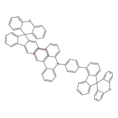 c1ccc(-c2ccccc2N(c2ccc(-c3cccc4c3-c3ccccc3C43c4ccccc4Oc4ccccc43)cc2)c2cccc(-c3ccc4c(c3)C3(c5ccccc5Oc5ccccc53)c3ccccc3-4)c2)cc1